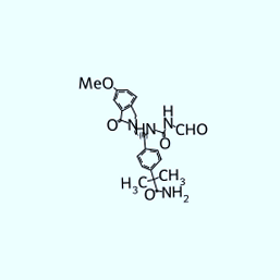 COc1ccc2c(c1)C(=O)N(C[C@H](NC(=O)NC=O)c1ccc(C(C)(C)C(N)=O)cc1)C2